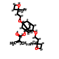 C=C(C)C(=O)OC12CC3CC(OCCC4(CCC)CCO4)(CC(OCCC4(CCC)CCO4)(C3)C1)C2